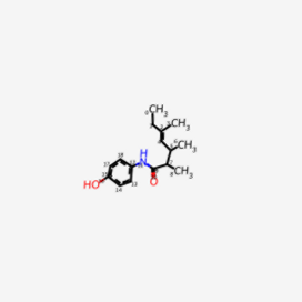 CC/C(C)=C/C(C)C(C)C(=O)Nc1ccc(O)cc1